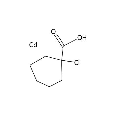 O=C(O)C1(Cl)CCCCC1.[Cd]